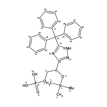 CC(C)(C)[Si](C)(C)OC(COP(=O)(O)O)c1n[nH]c(C(c2ccccc2)(c2ccccc2)c2ccccc2)n1